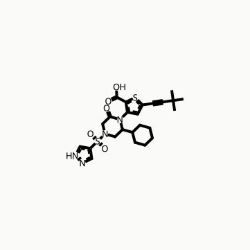 CC(C)(C)C#Cc1cc(N2C(=O)CN(S(=O)(=O)c3cn[nH]c3)CC2C2CCCCC2)c(C(=O)O)s1